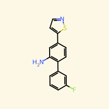 Nc1cc(-c2ccns2)ccc1-c1cccc(F)c1